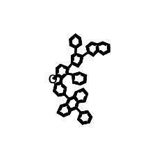 c1ccc(-c2cc(-c3ccc4oc5ccc(-c6c7ccccc7c(-c7ccccc7)c7ccccc67)cc5c4c3-c3ccccc3)ccc2-c2ccc3ccccc3c2)cc1